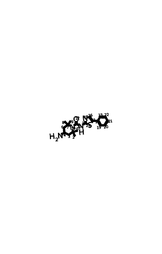 CC1(C)CC(N)CC(C)(C)N1C(=O)Nc1ncc(-c2ccccc2)s1